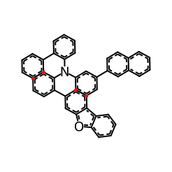 c1ccc(-c2ccccc2N(c2cccc(-c3ccc4ccccc4c3)c2)c2ccccc2-c2ccc3c(c2)oc2ccccc23)cc1